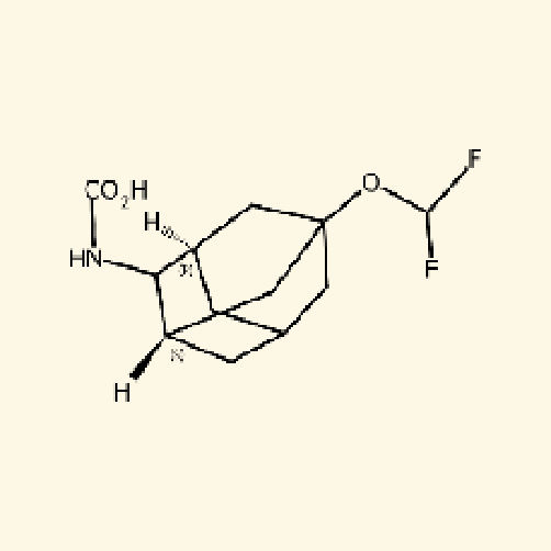 O=C(O)NC1[C@@H]2CC3C[C@H]1CC(OC(F)F)(C3)C2